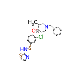 CC1CN(Cc2ccccc2)CC[C@H]1Oc1ccc(SNc2nccs2)cc1Cl